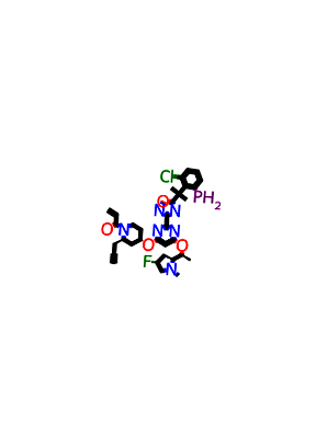 C#CC[C@@H]1C[C@@H](Oc2cc(O[C@@H](C)[C@@H]3C[C@H](F)CN3C)nc(-c3noc(C(C)(C)c4c(P)cccc4Cl)n3)n2)CCN1C(=O)C=C